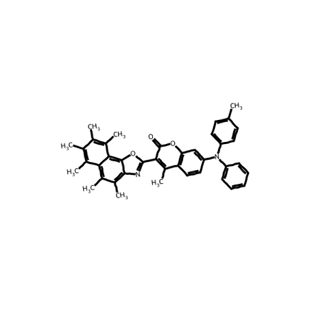 Cc1ccc(N(c2ccccc2)c2ccc3c(C)c(-c4nc5c(C)c(C)c6c(C)c(C)c(C)c(C)c6c5o4)c(=O)oc3c2)cc1